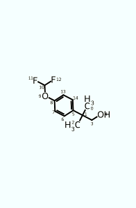 CC(C)(CO)c1ccc(OC(F)F)cc1